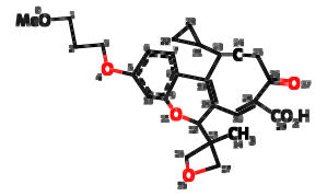 COCCCOc1ccc2c(c1)OC(C1(C)COC1)C1=C2C(C2CC2)CCC(=O)/C(C(=O)O)=C\1